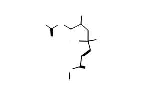 COC(=O)/C=C/C(C)(C)CC(C)COC(C)=O